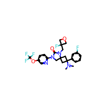 CN(C)C1(c2cccc(F)c2)CC2(CN(c3ccc(OC(F)(F)F)cn3)C(=O)N2CC2(F)COC2)C1